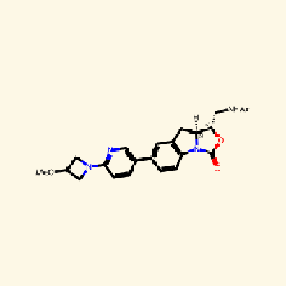 COC1CN(c2ccc(-c3ccc4c(c3)C[C@H]3[C@H](CNC(C)=O)OC(=O)N43)cn2)C1